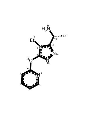 CCn1c(Oc2ccccn2)nnc1[C@@H](C)N